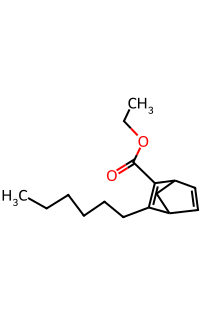 CCCCCCC1=C(C(=O)OCC)C2C=CC1C2